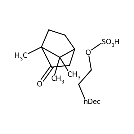 CC12CCC(CC1=O)C2(C)C.CCCCCCCCCCCCOS(=O)(=O)O